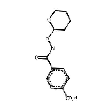 O=C(O)c1ccc(C(=O)NOC2CCCCO2)cc1